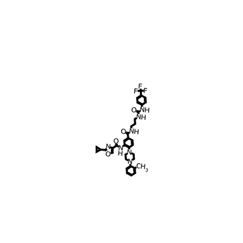 Cc1ccccc1N1CCN(c2ccc(C(=O)NCCCNC(=O)Nc3ccc(C(F)(F)F)cc3)cc2NC(=O)c2coc(C3CC3)n2)CC1